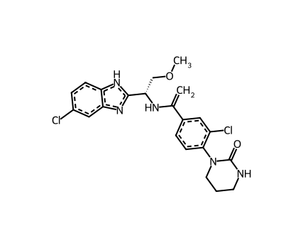 C=C(N[C@@H](COC)c1nc2cc(Cl)ccc2[nH]1)c1ccc(N2CCCNC2=O)c(Cl)c1